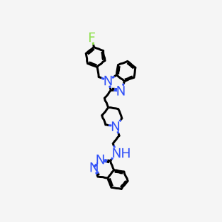 Fc1ccc(Cn2c(CC3CCN(CCNc4nncc5ccccc45)CC3)nc3ccccc32)cc1